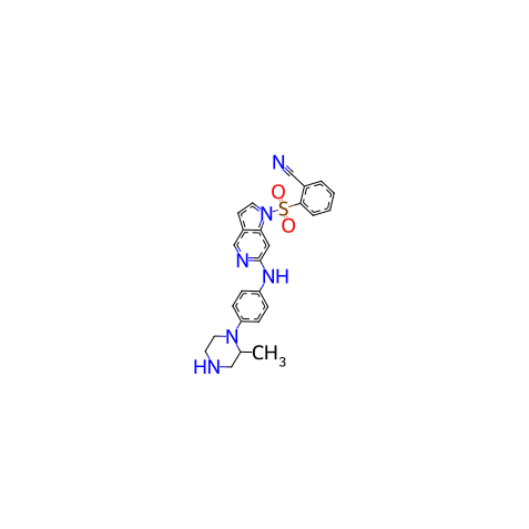 CC1CNCCN1c1ccc(Nc2cc3c(ccn3S(=O)(=O)c3ccccc3C#N)cn2)cc1